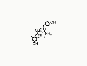 Cc1cc(O)cc(C)c1C[C@H](N)C(=O)N(CCCc1ccc(O)cc1)[C@H](C)C(N)=O